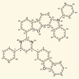 c1ccc(-c2cc(-c3ccc4c(c3)oc3ccccc34)nc(-c3cccc4c3oc3c4ccc4c3c3ccccc3n4-c3ccccc3)n2)cc1